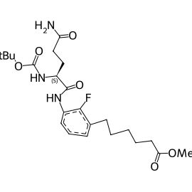 COC(=O)CCCCCc1cccc(NC(=O)[C@H](CCC(N)=O)NC(=O)OC(C)(C)C)c1F